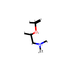 C=C(C)OC(C)CN(C)CC